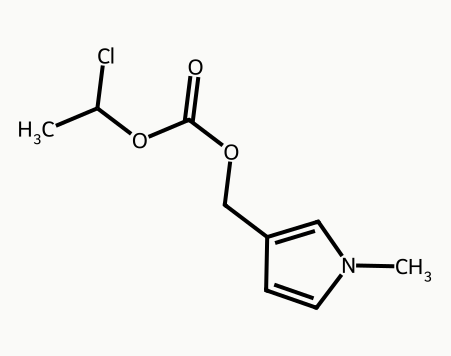 CC(Cl)OC(=O)OCc1ccn(C)c1